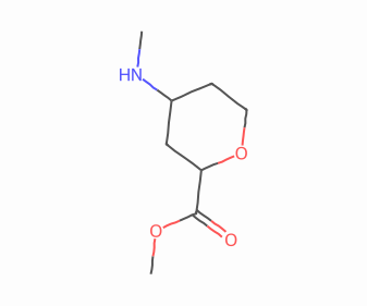 CNC1CCOC(C(=O)OC)C1